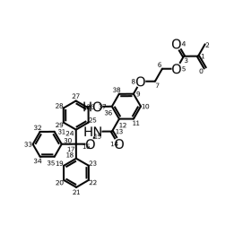 C=C(C)C(=O)OCCOc1ccc(C(=O)NOC(c2ccccc2)(c2ccccc2)c2ccccc2)c(O)c1